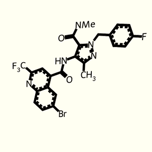 CNC(=O)c1c(NC(=O)c2cc(C(F)(F)F)nc3ccc(Br)cc23)c(C)nn1Cc1ccc(F)cc1